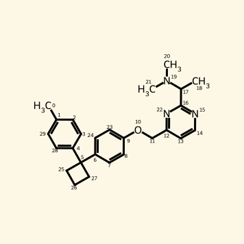 Cc1ccc(C2(c3ccc(OCc4ccnc(C(C)N(C)C)n4)cc3)CCC2)cc1